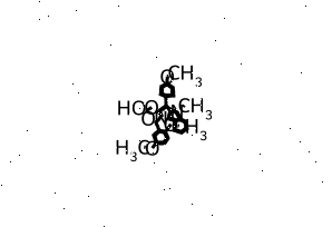 COc1ccc(-c2c(OC(=O)O)n(Cc3cc(OC)ccc3OC)c3c4ccccc4n(C)c23)cc1